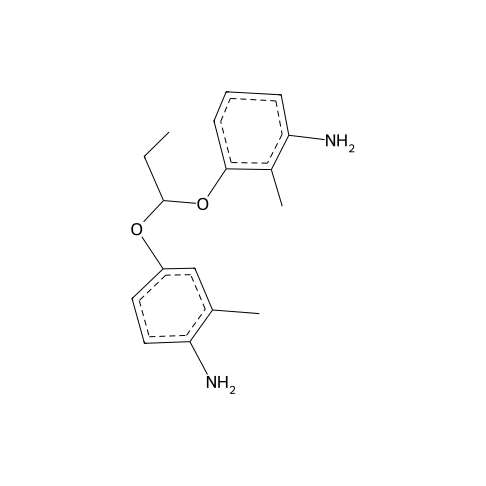 CCC(Oc1ccc(N)c(C)c1)Oc1cccc(N)c1C